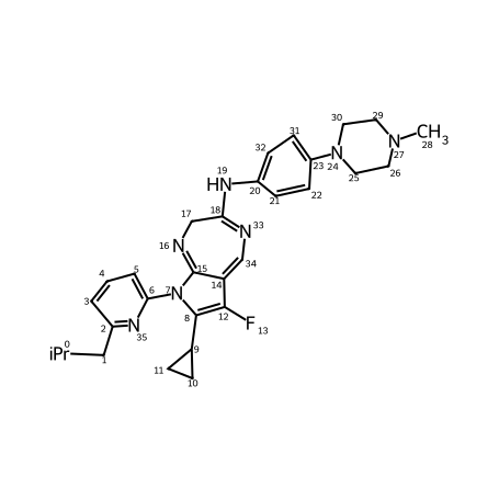 CC(C)Cc1cccc(-n2c(C3CC3)c(F)c3c2=NCC(Nc2ccc(N4CCN(C)CC4)cc2)=NC=3)n1